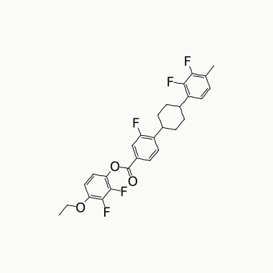 CCOc1ccc(OC(=O)c2ccc(C3CCC(c4ccc(C)c(F)c4F)CC3)c(F)c2)c(F)c1F